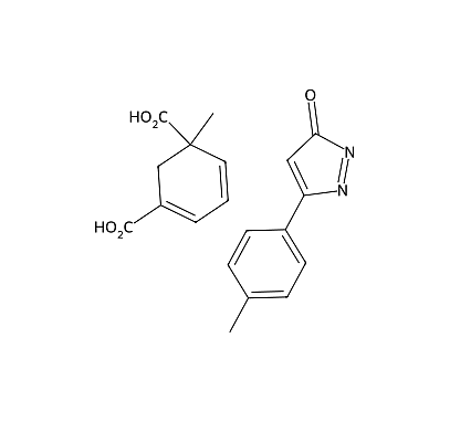 CC1(C(=O)O)C=CC=C(C(=O)O)C1.Cc1ccc(C2=CC(=O)N=N2)cc1